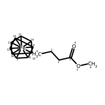 CCCC(=O)OC.[CH]12[CH]3[CH]4[CH]5[CH]1[Fe]23451678[CH]2[CH]1[CH]6[CH]7[CH]28